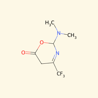 CN(C)C1N=C(C(F)(F)F)CC(=O)O1